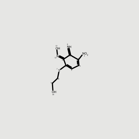 N=C1C([N+](=O)[O-])=CC=C(SCCO)/C1=N/O